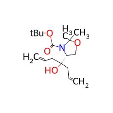 C=CCC(O)(CC=C)[C@H]1COC(C)(C)N1C(=O)OC(C)(C)C